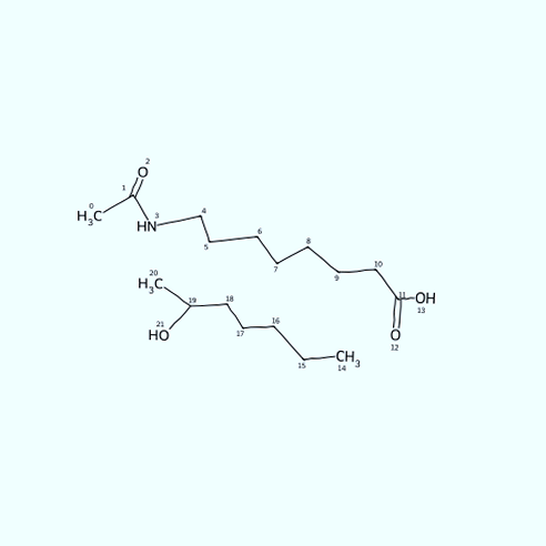 CC(=O)NCCCCCCCC(=O)O.CCCCCC(C)O